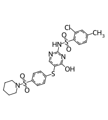 Cc1ccc(S(=O)(=O)Nc2ncc(Sc3ccc(S(=O)(=O)N4CCCCC4)cc3)c(O)n2)c(Cl)c1